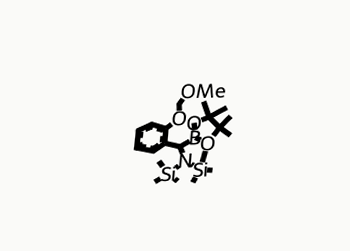 COCOc1ccccc1C(B1OC(C)(C)C(C)(C)O1)N([Si](C)(C)C)[Si](C)(C)C